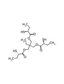 CC[C@H](S)C(=O)OCC(CC)(COC(=O)[C@@H](S)CC)COC(=O)[C@@H](S)CC